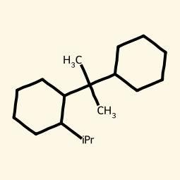 CC(C)C1CCCCC1C(C)(C)C1CCCCC1